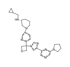 c1cc(C2(n3cnc(-c4cncc(N5CCCC5)n4)c3)COC2)ncc1N1CCC[C@@H](NCC2CC2)C1